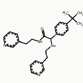 CC(C)(C)c1ccc(C(NCCc2cccnc2)C(=O)NCCc2cccnc2)cc1